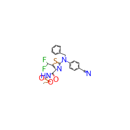 CS(=O)(=O)NC(=O)c1nc(N(Cc2ccccc2)c2ccc(C#N)cc2)sc1C(F)F